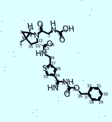 C[C@@]12C[C@@H]1N(C(=O)CNC(=O)O)[C@H](C(=O)NCc1cc(C(=N)NC(=O)OCc3ccccc3)cs1)C2